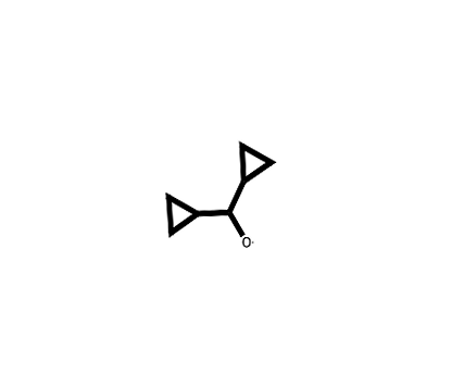 [O]C(C1CC1)C1CC1